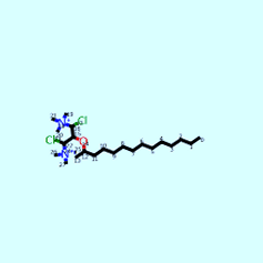 CCCCCCCCCCCCC(C)OC(C(Cl)[N+](C)(C)C)C(Cl)[N+](C)(C)C